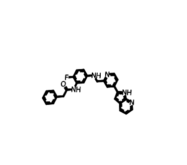 O=C(Cc1ccccc1)Nc1cc(NCc2cc(-c3cc4cccnc4[nH]3)ccn2)ccc1F